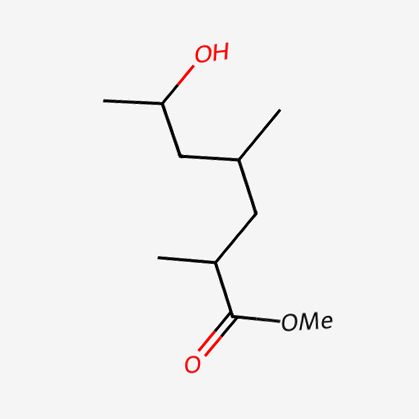 COC(=O)C(C)CC(C)CC(C)O